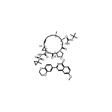 COc1ccc2c(O[C@@H]3C[C@H]4C(=O)N[C@]5(C(=O)NS(=O)(=O)C6(C)CC6)C[C@H]5/C=C\CC[C@@H](C)C[C@@H](C)[C@H](NC(=O)OC(C)(C)C)C(=O)N4C3)nc(-c3ccc4c(c3)OCCO4)cc2c1